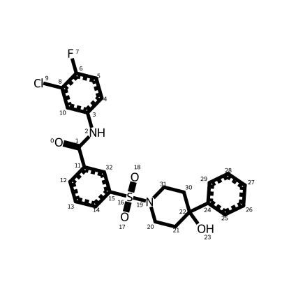 O=C(Nc1ccc(F)c(Cl)c1)c1cccc(S(=O)(=O)N2CCC(O)(c3ccccc3)CC2)c1